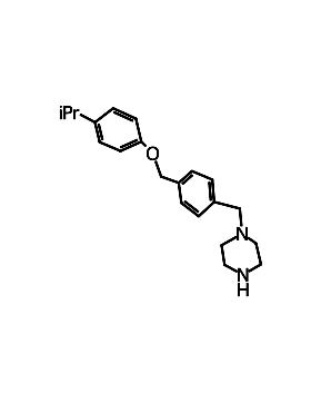 CC(C)c1ccc(OCc2ccc(CN3CCNCC3)cc2)cc1